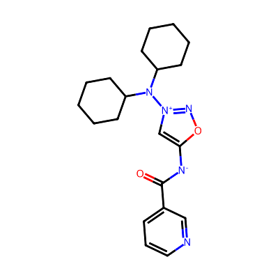 O=C([N-]c1c[n+](N(C2CCCCC2)C2CCCCC2)no1)c1cccnc1